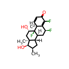 C[C@@H]1C[C@H]2[C@@H]3C[C@H](F)C4=C(F)C(=O)C=C[C@]4(C)[C@@]3(F)[C@@H](O)C[C@]2(C)[C@@H]1O